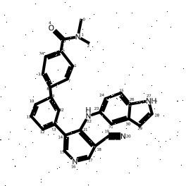 CN(C)C(=O)c1ccc(-c2cccc(-c3cncc(C#N)c3Nc3ccc4[nH]ccc4c3)c2)cc1